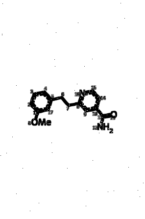 COc1cccc(CCc2cc(C(N)=O)ccn2)c1